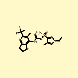 CCn1cc(F)c([S@](N)(=O)=NC(=O)Nc2c(C)c(C(F)(F)F)nc3c2[C@H](C)CC3)n1